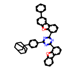 c1ccc(-c2ccc3oc4c(-c5nc(-c6ccc(C78CC9CC(CC(C9)C7)C8)cc6)nc(-c6cccc7c6oc6ccccc67)n5)cccc4c3c2)cc1